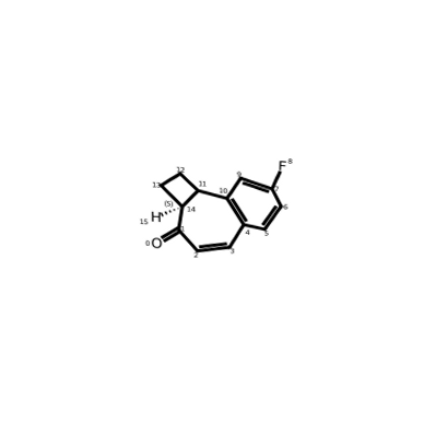 O=C1C=Cc2ccc(F)cc2C2CC[C@H]12